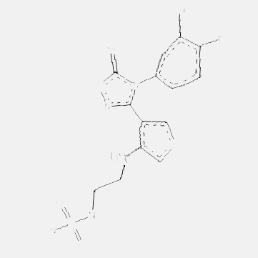 NS(=O)(=O)NCCNc1cocc1-c1noc(=O)n1-c1ccc(F)c(Br)c1